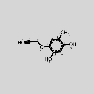 C#CCOc1cc(C)c(O)cc1O